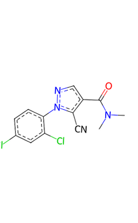 CN(C)C(=O)c1cnn(-c2ccc(Cl)cc2Cl)c1C#N